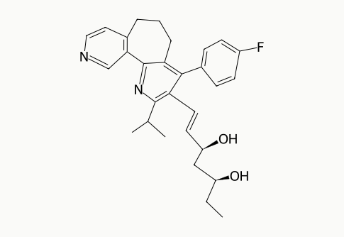 CC[C@H](O)C[C@H](O)/C=C/c1c(C(C)C)nc2c(c1-c1ccc(F)cc1)CCCc1ccncc1-2